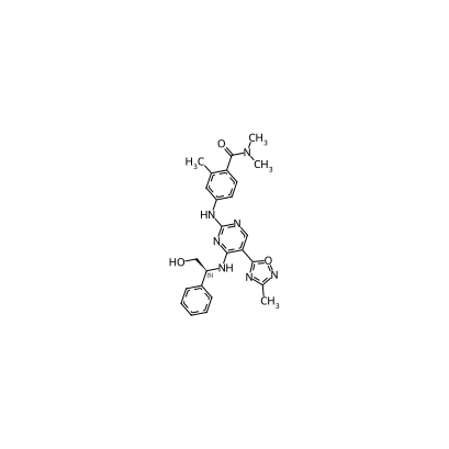 Cc1noc(-c2cnc(Nc3ccc(C(=O)N(C)C)c(C)c3)nc2N[C@H](CO)c2ccccc2)n1